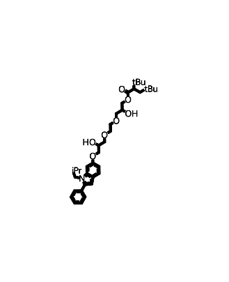 CC(C)Cn1c(-c2ccccc2)cc2ccc(OCC(O)COCCOCC(O)COC(=O)C(CC(C)(C)C)C(C)(C)C)cc21